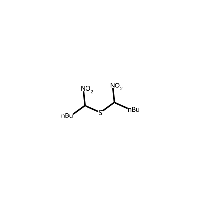 CCCCC(SC(CCCC)[N+](=O)[O-])[N+](=O)[O-]